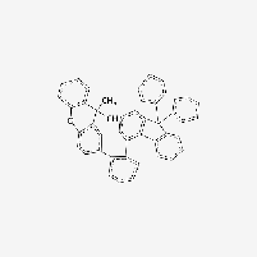 CC1(C)c2ccccc2Oc2ccc(-c3ccccc3-c3cccc4c3-c3ccccc3C4(c3ccccc3)c3ccccc3)cc21